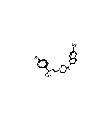 OC(CCN1CCC(Oc2ccc3cc(Br)ccc3c2)CC1)c1ccc(Br)cc1